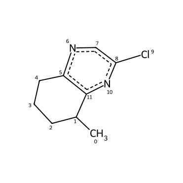 CC1CCCc2ncc(Cl)nc21